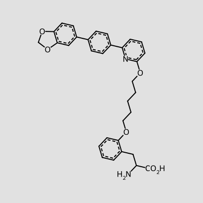 NC(Cc1ccccc1OCCCCCOc1cccc(-c2ccc(-c3ccc4c(c3)OCO4)cc2)n1)C(=O)O